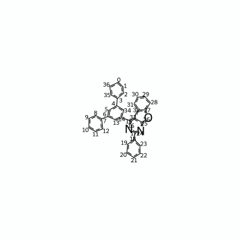 c1ccc(-c2cc(-c3ccccc3)cc(-c3nc(-c4ccccc4)nc4oc5ccccc5c34)c2)cc1